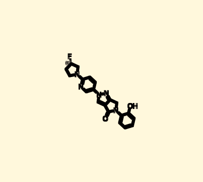 O=C1c2cn(-c3ccc(N4CC[C@H](F)C4)nc3)nc2CN1c1ccccc1O